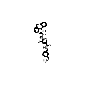 NCC1CCCC(CNC(=O)c2cnc(NNC(=S)NC3c4ccccc4CCc4ccccc43)c(Cl)c2)C1